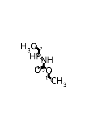 CCOC(=O)NPCC